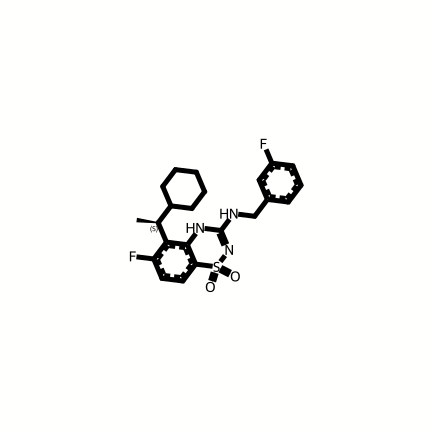 C[C@H](c1c(F)ccc2c1NC(NCc1cccc(F)c1)=NS2(=O)=O)C1CCCCC1